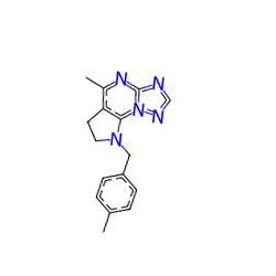 Cc1ccc(CN2CCc3c(C)nc4ncnn4c32)cc1